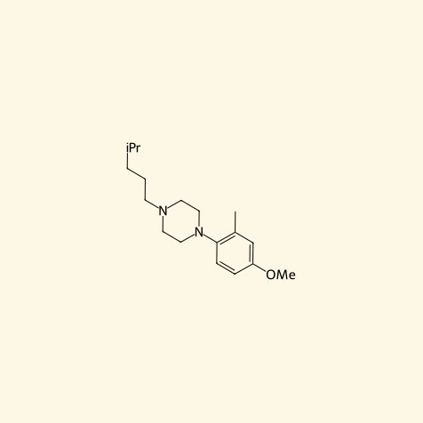 COc1ccc(N2CCN(CCCC(C)C)CC2)c(C)c1